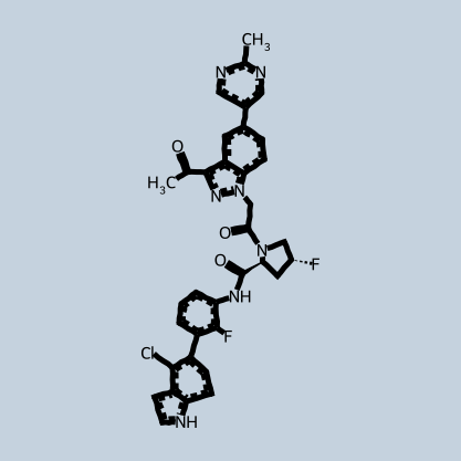 CC(=O)c1nn(CC(=O)N2C[C@H](F)C[C@H]2C(=O)Nc2cccc(-c3ccc4[nH]ccc4c3Cl)c2F)c2ccc(-c3cnc(C)nc3)cc12